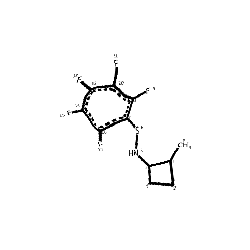 CC1CCC1NSc1c(F)c(F)c(F)c(F)c1F